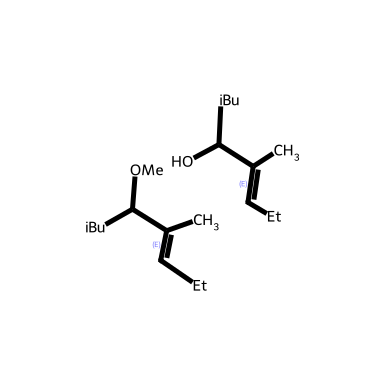 CC/C=C(\C)C(O)C(C)CC.CC/C=C(\C)C(OC)C(C)CC